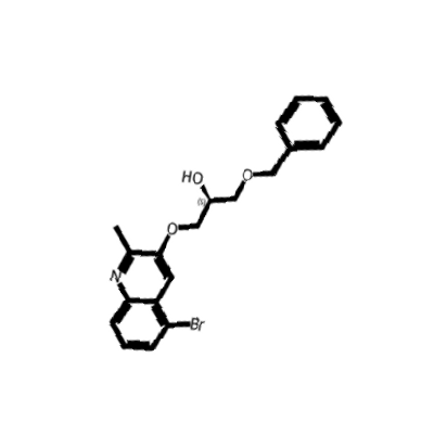 Cc1nc2cccc(Br)c2cc1OC[C@@H](O)COCc1ccccc1